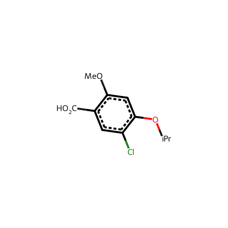 COc1cc(OC(C)C)c(Cl)cc1C(=O)O